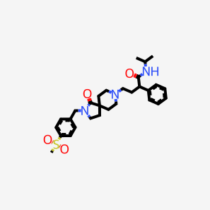 CC(C)NC(=O)C(CCN1CCC2(CC1)CCN(Cc1ccc(S(C)(=O)=O)cc1)C2=O)c1ccccc1